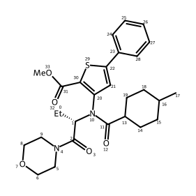 CC[C@@H](C(=O)N1CCOCC1)N(C(=O)C1CCC(C)CC1)c1cc(-c2ccccc2)sc1C(=O)OC